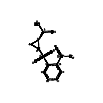 O=C(O)[C@@H]1CN1S(=O)(=O)c1ccccc1[N+](=O)[O-]